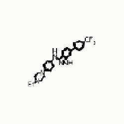 CCN1CCN(c2ccc(Nc3n[nH]c4cc(-c5ccc(C(F)(F)F)cc5)ccc34)cc2)CC1